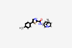 Cc1ccc(-c2cnc(C(=O)N[C@@H]3C[C@H]4CCN(C4)C3)s2)cc1